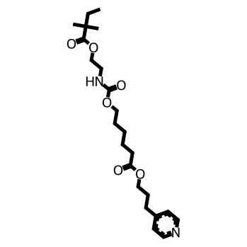 CCC(C)(C)C(=O)OCCNC(=O)OCCCCCC(=O)OCCCc1ccncc1